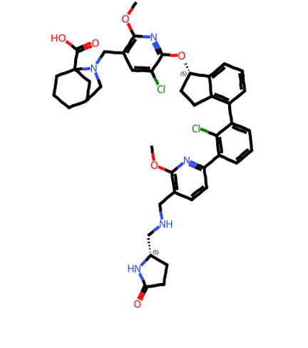 COc1nc(-c2cccc(-c3cccc4c3CC[C@@H]4Oc3nc(OC)c(CN4CC5CCCC4(C(=O)O)C5)cc3Cl)c2Cl)ccc1CNC[C@@H]1CCC(=O)N1